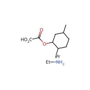 CC1CCC(C(C)C)C(OC(=O)C(=O)O)C1.CCN